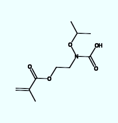 C=C(C)C(=O)OCCN(OC(C)C)C(=O)O